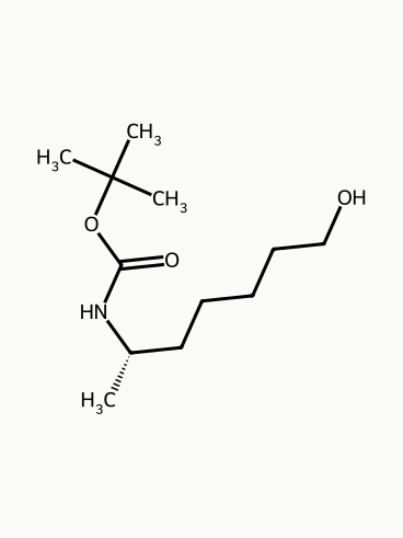 C[C@@H](CCCCCO)NC(=O)OC(C)(C)C